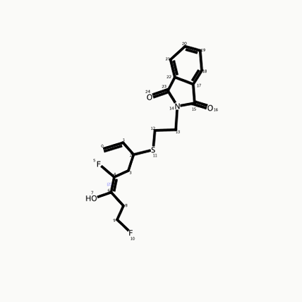 C=CC(C/C(F)=C(/O)CCF)SCCN1C(=O)c2ccccc2C1=O